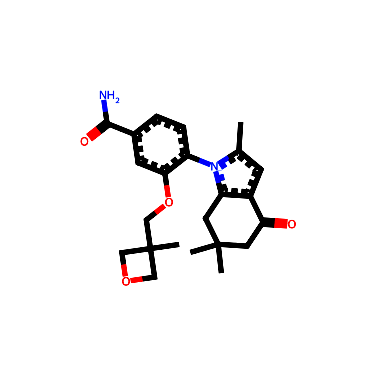 Cc1cc2c(n1-c1ccc(C(N)=O)cc1OCC1(C)COC1)CC(C)(C)CC2=O